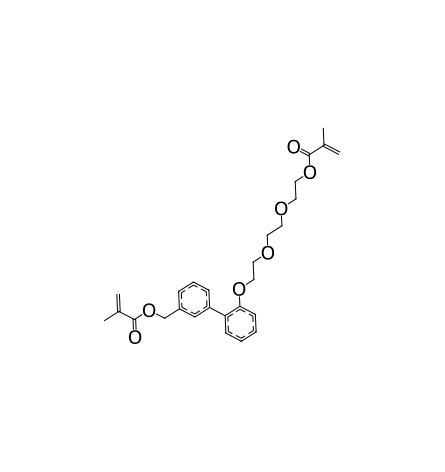 C=C(C)C(=O)OCCOCCOCCOc1ccccc1-c1cccc(COC(=O)C(=C)C)c1